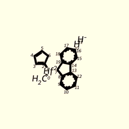 [CH2]=[Hf+2]([C]1=CC=CC1)[CH]1c2ccccc2-c2ccccc21.[H-].[H-]